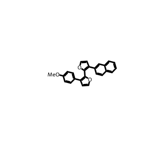 COc1ccc(-c2ccoc2-c2occc2-c2ccc3ccccc3c2)cc1